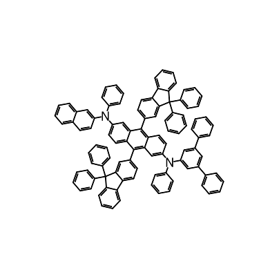 c1ccc(-c2cc(-c3ccccc3)cc(N(c3ccccc3)c3ccc4c(-c5ccc6c(c5)C(c5ccccc5)(c5ccccc5)c5ccccc5-6)c5cc(N(c6ccccc6)c6ccc7ccccc7c6)ccc5c(-c5ccc6c(c5)C(c5ccccc5)(c5ccccc5)c5ccccc5-6)c4c3)c2)cc1